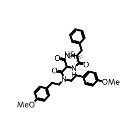 COc1ccc(CCN(CCc2ccc(OC)cc2)C(=O)C(NC(=O)[C@@H](S)Cc2ccccc2)C(N)=O)cc1